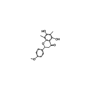 COc1ccc(C2CC(=O)c3c(O)c(C)c(O)c(C)c3O2)cc1